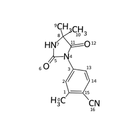 Cc1cc(N2C(=O)NC(C)(C)C2=O)ccc1C#N